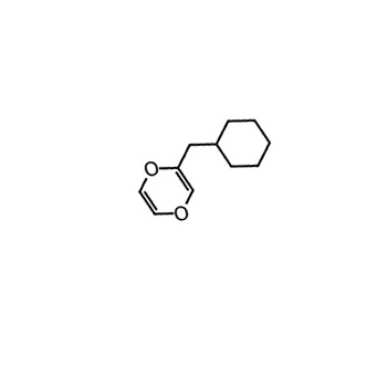 C1=COC(CC2CCCCC2)=CO1